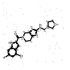 CCc1cc(F)cc2[nH]c(C(=O)N3CCc4nc(NC[C@H]5CCOC5)sc4C3)cc12